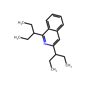 CCC(CC)c1cc2ccccc2c(C(CC)CC)n1